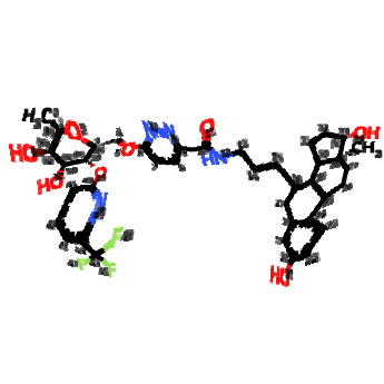 C[C@H]1O[C@H](COc2ccc(C(=O)NCCCC3Cc4cc(O)ccc4C4CC[C@@]5(C)C(CC[C@@H]5O)C34)nn2)[C@H](Oc2cccc(C(F)(F)F)n2)[C@@H](O)[C@H]1O